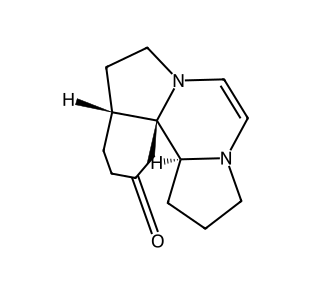 O=C1CC[C@@H]2CCN3C=CN4CCC[C@H]4[C@]23C1